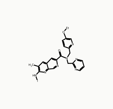 CCOc1ccc(CN(Cc2ncccn2)C(=O)c2cc3cc(C)c(NI)nc3cn2)nc1